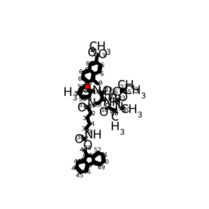 COC(=O)c1ccc2c(CN3C(=O)[C@@H](NC(=O)[C@H](C)N(C)C(=O)OC(C)(C)C)CN(C(=O)CCCCNC(=O)OCC4c5ccccc5-c5ccccc54)c4ccccc43)c(OC)ccc2c1